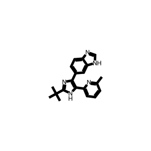 Cc1cccc(-c2[nH]c(C(C)(C)C)nc2-c2ccc3nc[nH]c3c2)n1